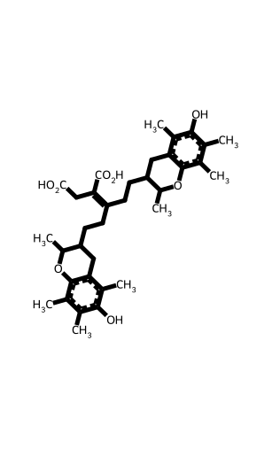 Cc1c(C)c2c(c(C)c1O)CC(CCC(CCC1Cc3c(C)c(O)c(C)c(C)c3OC1C)=C(CC(=O)O)C(=O)O)C(C)O2